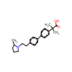 CC1CCCN1CCc1ccc(-c2ccc(C(C)(C)C(=O)O)cc2)cc1